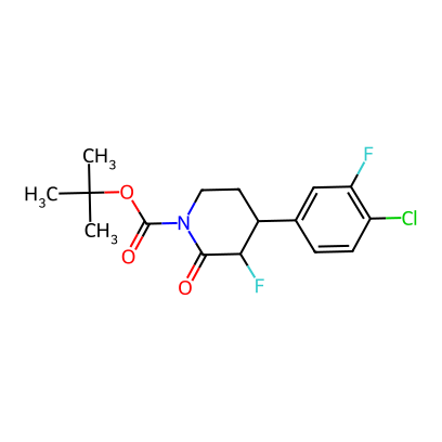 CC(C)(C)OC(=O)N1CCC(c2ccc(Cl)c(F)c2)C(F)C1=O